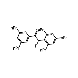 CCCc1cc(CCC)cc(C(=O)C(F)c2c(CCC)cc(CCC)cc2CCC)c1